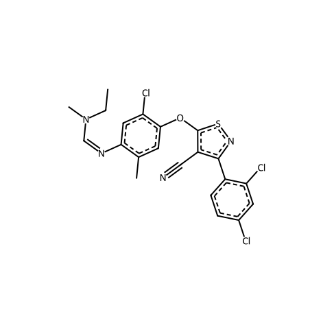 CCN(C)/C=N\c1cc(Cl)c(Oc2snc(-c3ccc(Cl)cc3Cl)c2C#N)cc1C